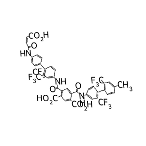 Cc1ccc(-c2ccc(NC(=O)c3cc(C(=O)Nc4ccc(-c5ccc(NC(=O)/C=C\C(=O)O)cc5C(F)(F)F)c(C(F)(F)F)c4)c(C(=O)O)cc3C(=O)O)cc2C(F)(F)F)c(C(F)(F)F)c1